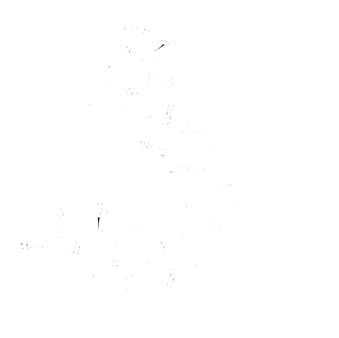 COC(=O)N[C@H](C(=O)N1CCC[C@H]1c1nc(-c2cccc(-c3ccc4[nH]c([C@@H]5CCCN5C(=O)[C@H](C(C)C)N(C)C(=O)O)nc4c3)c2)c[nH]1)C(C)C